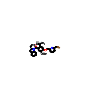 C=C[C@@H]1Cc2ccccc2N1C(=O)c1cc(OC)c(OCc2cccc(CBr)n2)cc1C(=C)C